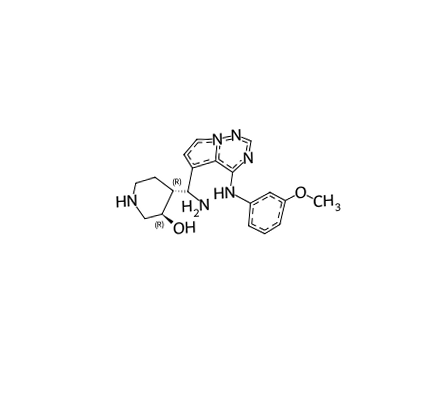 COc1cccc(Nc2ncnn3ccc(C(N)[C@H]4CCNC[C@@H]4O)c23)c1